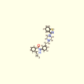 Cc1ccccc1C(=O)Nc1cccc(CCN2CCN(c3nsc4ccccc34)CC2)c1